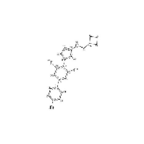 CCc1ccc(-c2cc(F)c(-c3ccc(OCC4CCC4)s3)c(F)c2)cc1